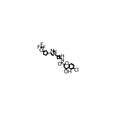 O=C(NC12CC(n3cc([C@@H]4CC[C@@H](OC(F)(F)F)C4)nn3)(C1)C2)[C@H]1C[C@@H](O)c2cc(Cl)ccc2O1